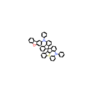 c1ccc(N(c2ccc3oc4ccccc4c3c2)c2cccc3c2-c2ccccc2C32c3cccc(N(c4ccccc4)c4ccccc4)c3-c3sc4ccccc4c32)cc1